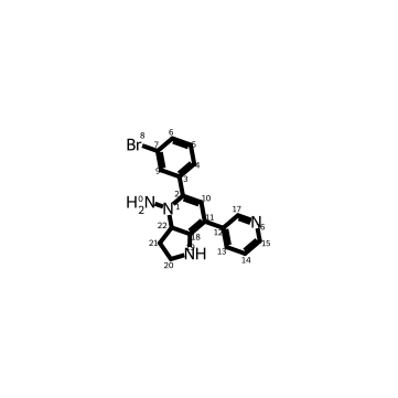 NN1C(c2cccc(Br)c2)=CC(c2cccnc2)=C2NCCC21